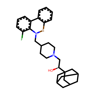 O[C@@H](CN1CCC(CN2Sc3ccccc3-c3cccc(F)c32)CC1)C12CC3CC(CC(C3)C1)C2